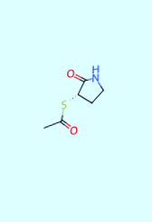 CC(=O)S[C@H]1CCNC1=O